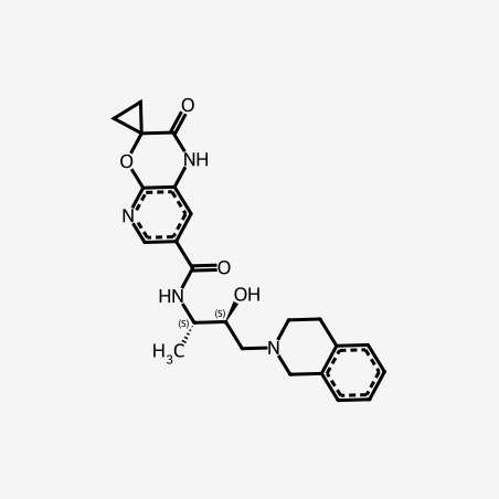 C[C@H](NC(=O)c1cnc2c(c1)NC(=O)C1(CC1)O2)[C@@H](O)CN1CCc2ccccc2C1